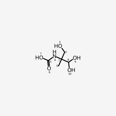 CC(CO)(NC(=O)O)C(O)O